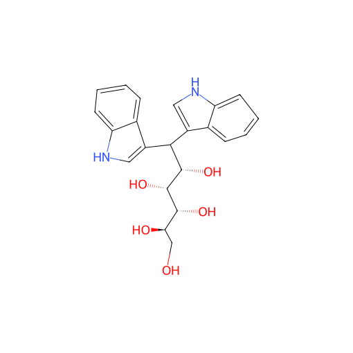 OC[C@@H](O)[C@@H](O)[C@H](O)[C@@H](O)C(c1c[nH]c2ccccc12)c1c[nH]c2ccccc12